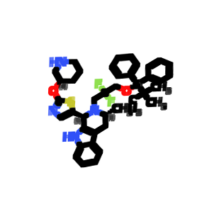 C[C@@H]1Cc2c([nH]c3ccccc23)[C@@H](c2cnc(O[C@@H]3CCCNC3)s2)N1CC(F)(F)CO[Si](c1ccccc1)(c1ccccc1)C(C)(C)C